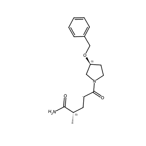 C[C@@H](C[CH]C(=O)N1CC[C@H](OCc2ccccc2)C1)C(N)=O